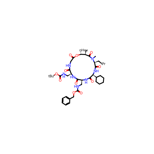 CCCCCC[C@H]1OC(=O)CNC(=O)[C@H](CNC(=O)OC(C)(C)C)NC(=O)[C@H](CNC(=O)OCc2ccccc2)NC(=O)[C@H](C2CCCCC2)NC(=O)[C@H](CC(C)C)N(C)C(=O)[C@@H]1C